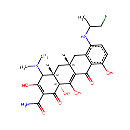 CC(CF)Nc1ccc(O)c2c1C[C@H]1C[C@H]3C(N(C)C)C(O)=C(C(N)=O)C(=O)[C@]3(O)C(O)=C1C2=O